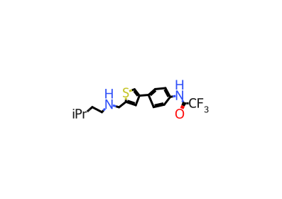 CC(C)CCNCc1cc(-c2ccc(NC(=O)C(F)(F)F)cc2)cs1